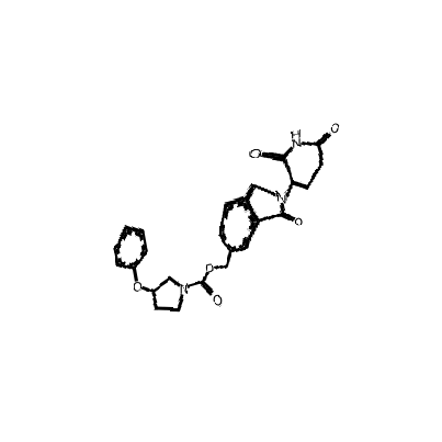 O=C1CCC(N2Cc3ccc(COC(=O)N4CCC(Oc5ccccc5)C4)cc3C2=O)C(=O)N1